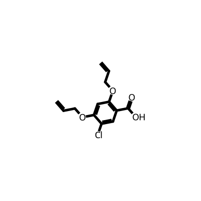 C=CCOc1cc(OCC=C)c(C(=O)O)cc1Cl